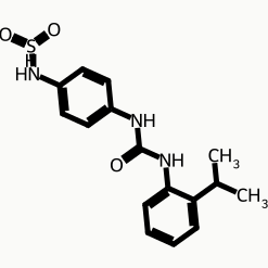 CC(C)c1ccccc1NC(=O)Nc1ccc(N[SH](=O)=O)cc1